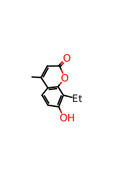 CCc1c(O)ccc2c(C)cc(=O)oc12